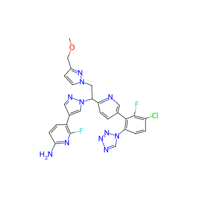 COCc1ccn(CC(c2ccc(-c3c(-n4cnnn4)ccc(Cl)c3F)cn2)n2cc(-c3ccc(N)nc3F)cn2)n1